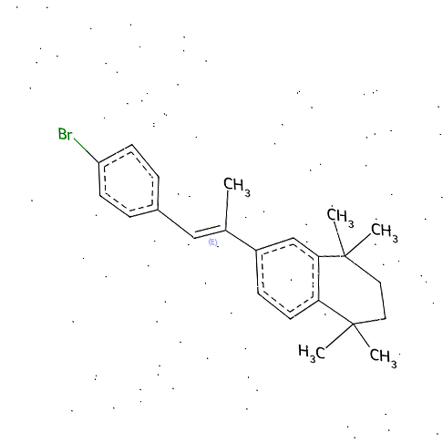 C/C(=C\c1ccc(Br)cc1)c1ccc2c(c1)C(C)(C)CCC2(C)C